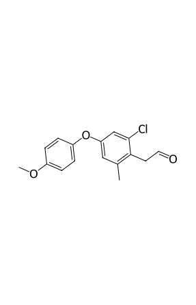 COc1ccc(Oc2cc(C)c(CC=O)c(Cl)c2)cc1